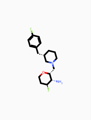 N[C@@H]1[C@@H](F)CCO[C@@H]1CN1CCC[C@@H](Cc2ccc(F)cc2)C1